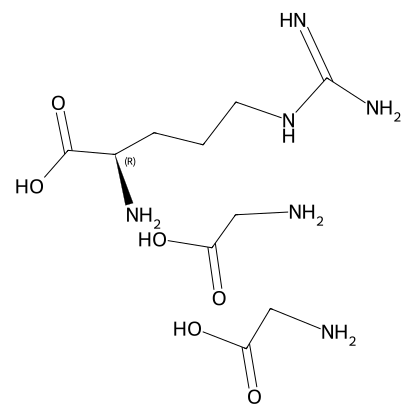 N=C(N)NCCC[C@@H](N)C(=O)O.NCC(=O)O.NCC(=O)O